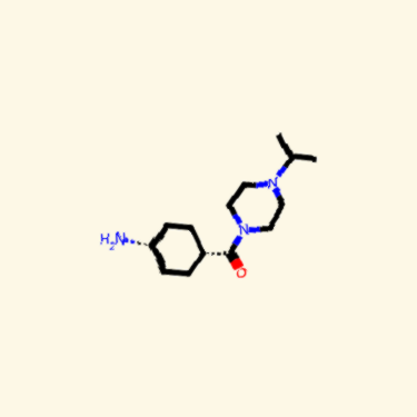 CC(C)N1CCN(C(=O)[C@H]2CC[C@@H](N)CC2)CC1